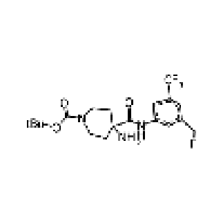 CC(C)(C)OC(=O)N1CCC(N)(C(=O)Nc2cc(CF)cc(C(F)(F)F)c2)CC1